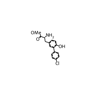 COC(=O)[C@@H](N)Cc1ccc(O)c(-c2ccc(Cl)cc2)c1